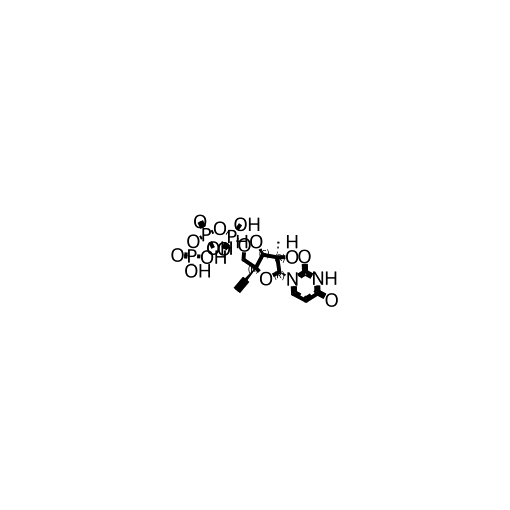 C#C[C@]1(COP(=O)(O)OP(=O)(O)OP(=O)(O)O)O[C@@H](n2ccc(=O)[nH]c2=O)[C@](C)(O)[C@@H]1O